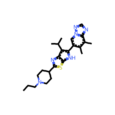 CCCN1CCC(c2nc3c(C(C)C)c(-c4cn5ncnc5c(C)c4C)[nH]c3s2)CC1